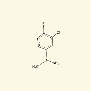 CN(N)c1ccc(F)c(Cl)c1